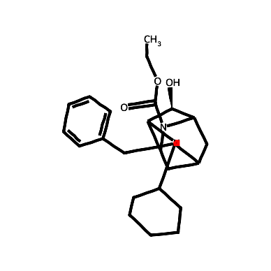 CCOC(=O)N1C2CC3CC1[C@H](O)C2N(Cc1ccccc1)C3C1CCCCC1